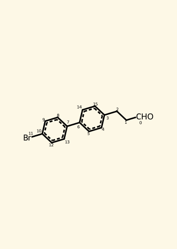 O=CCCc1ccc(-c2ccc(Br)cc2)cc1